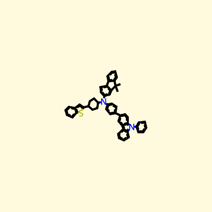 CC1(C)c2ccccc2-c2ccc(N(c3ccc(-c4ccc5c(c4)c4ccccc4n5-c4ccccc4)cc3)C3CCC(c4cc5ccccc5s4)CC3)cc21